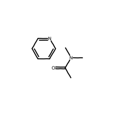 CC(=O)N(C)C.c1ccncc1